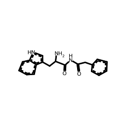 NC(Cc1c[nH]c2ccccc12)C(=O)NC(=O)Cc1ccccc1